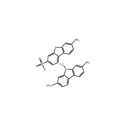 O=[N+]([O-])c1ccc2c(c1)sc1cc(S(=O)(=O)Cl)ccc12.O=[N+]([O-])c1ccc2c3ccc(S(=O)(=O)O)cc3[s+](C(F)(F)F)c2c1